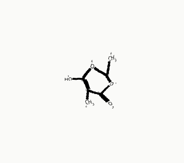 CC1=C(O)OC(C)OC1=O